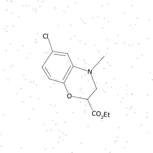 CCOC(=O)C1CN(C)c2cc(Cl)ccc2O1